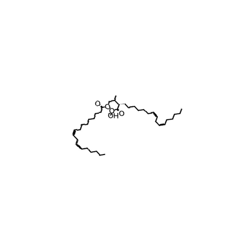 CCCCC/C=C\C/C=C\CCCCCCCC(=O)OCC(C)[C@H](CCCCCC/C=C\C/C=C\CCCCC)C(=O)OO